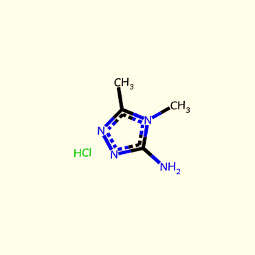 Cc1nnc(N)n1C.Cl